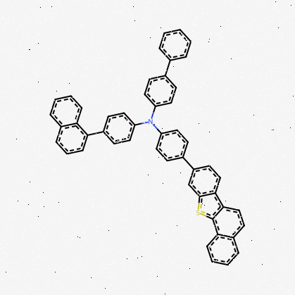 c1ccc(-c2ccc(N(c3ccc(-c4ccc5c(c4)sc4c6ccccc6ccc54)cc3)c3ccc(-c4cccc5ccccc45)cc3)cc2)cc1